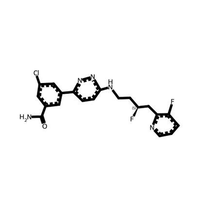 NC(=O)c1cc(Cl)cc(-c2ccc(NCC[C@H](F)Cc3ncccc3F)nn2)c1